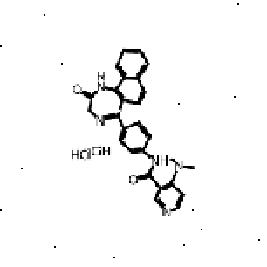 CN(C)c1ccncc1C(=O)Nc1ccc(C2=NCC(=O)Nc3c2ccc2ccccc32)cc1.Cl.Cl